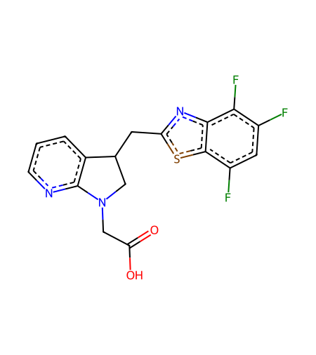 O=C(O)CN1CC(Cc2nc3c(F)c(F)cc(F)c3s2)c2cccnc21